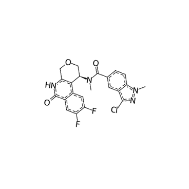 CN(C(=O)c1ccc2c(c1)c(Cl)nn2C)[C@@H]1COCc2[nH]c(=O)c3cc(F)c(F)cc3c21